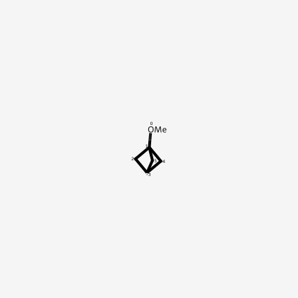 COC12C[C](C1)C2